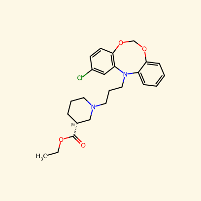 CCOC(=O)[C@@H]1CCCN(CCCN2c3ccccc3OCOc3ccc(Cl)cc32)C1